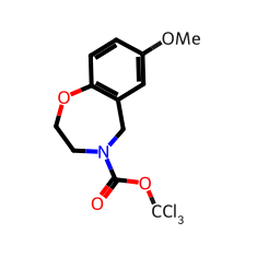 COc1ccc2c(c1)CN(C(=O)OC(Cl)(Cl)Cl)CCO2